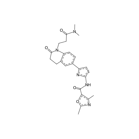 Cc1nc(C)c(C(=O)Nc2nc(-c3ccc4c(c3)CCC(=O)N4CCC(=O)N(C)C)cs2)o1